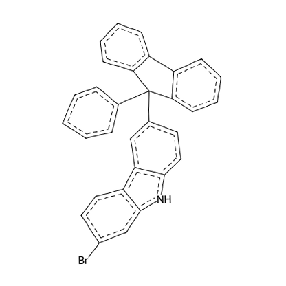 Brc1ccc2c(c1)[nH]c1ccc(C3(c4ccccc4)c4ccccc4-c4ccccc43)cc12